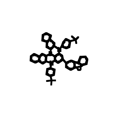 CC(C)(C)c1ccc(N2c3cc4ccccc4cc3B3c4cc5ccccc5cc4N(c4ccc(C(C)(C)C)cc4)c4cc(-c5ccc6oc7ccccc7c6c5)cc2c43)cc1